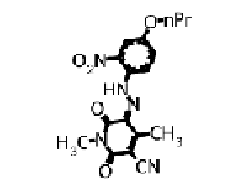 CCCOc1ccc(N/N=C2\C(=O)N(C)C(=O)C(C#N)=C2C)c([N+](=O)[O-])c1